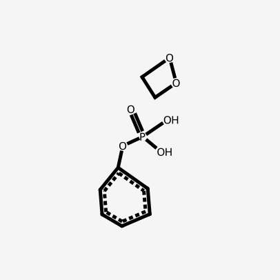 C1COO1.O=P(O)(O)Oc1ccccc1